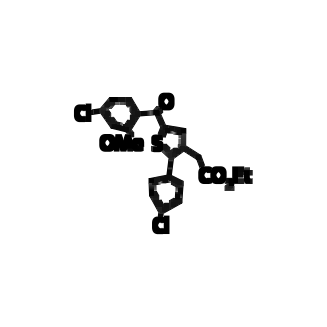 CCOC(=O)Cc1cc(C(=O)c2ccc(Cl)cc2OC)sc1-c1ccc(Cl)cc1